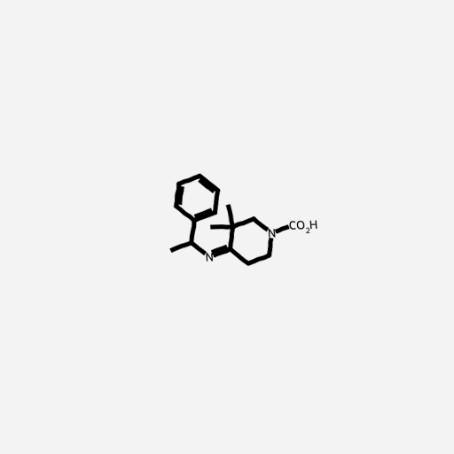 CC(N=C1CCN(C(=O)O)CC1(C)C)c1ccccc1